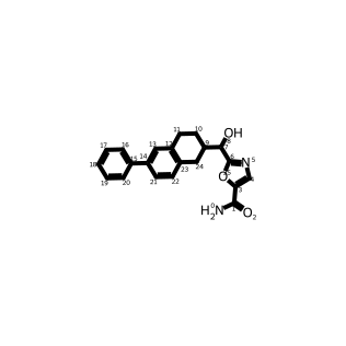 NC(=O)c1cnc(C(O)C2CCc3cc(-c4ccccc4)ccc3C2)o1